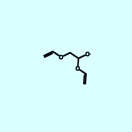 C=COCC([O])OC=C